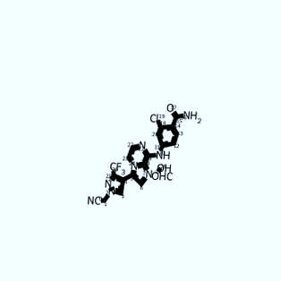 N#CCn1cc(-c2cnc3c(Nc4ccc(C(N)=O)c(Cl)c4)nccn23)c(C(F)(F)F)n1.O=CO